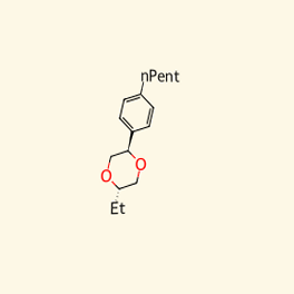 CCCCCc1ccc([C@@H]2CO[C@@H](CC)CO2)cc1